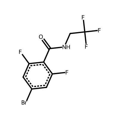 O=C(NCC(F)(F)F)c1c(F)cc(Br)cc1F